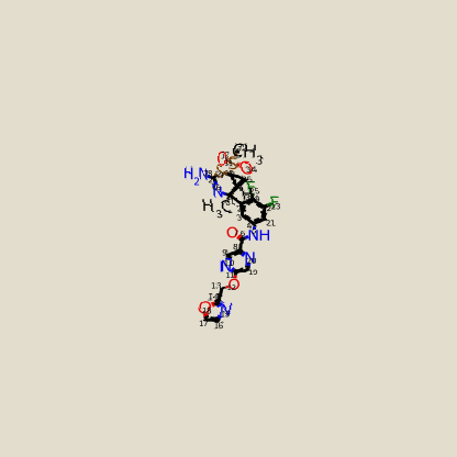 C[C@@]1(c2cc(NC(=O)c3cnc(OCc4ncco4)cn3)cc(F)c2F)N=C(N)S[C@@]2(S(C)(=O)=O)C[C@@H]12